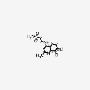 Cc1cc(NCCS(N)(=O)=O)c2ccc(Cl)c(Cl)c2n1